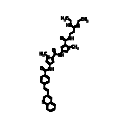 CC/N=C(/CCNC(=O)c1cc(NC(=O)c2cc(NC(=O)c3ccc(/C=C/c4cnc5ccccc5c4)cc3)cn2C)cn1C)NCC